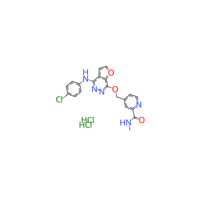 CNC(=O)c1cc(COc2nnc(Nc3ccc(Cl)cc3)c3ccoc23)ccn1.Cl.Cl